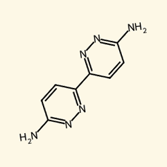 Nc1ccc(-c2ccc(N)nn2)nn1